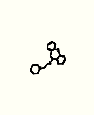 c1ccc2c(c1)CC(SCCN1CCCCC1)c1ccccc1S2